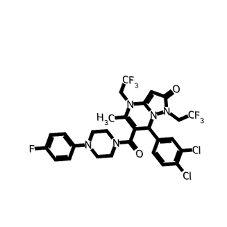 CC1=C(C(=O)N2CCN(c3ccc(F)cc3)CC2)C(c2ccc(Cl)c(Cl)c2)n2c(cc(=O)n2CC(F)(F)F)N1CC(F)(F)F